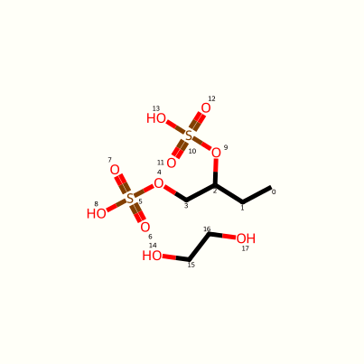 CCC(COS(=O)(=O)O)OS(=O)(=O)O.OCCO